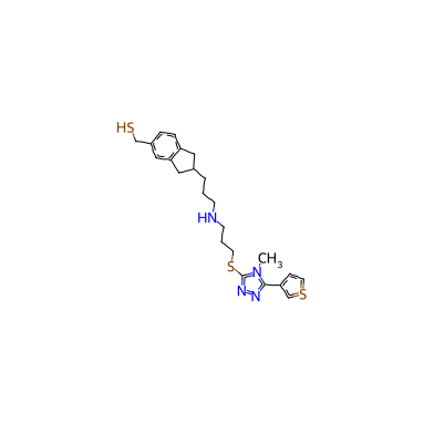 Cn1c(SCCCNCCCC2Cc3ccc(CS)cc3C2)nnc1-c1ccsc1